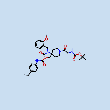 CCc1ccc(NC(=O)OCC2(N(C=O)Cc3ccccc3OC)CCN(C(=O)CNC(=O)OC(C)(C)C)CC2)cc1